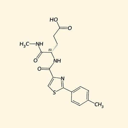 CNC(=O)[C@H](CCC(=O)O)NC(=O)c1csc(-c2ccc(C)cc2)n1